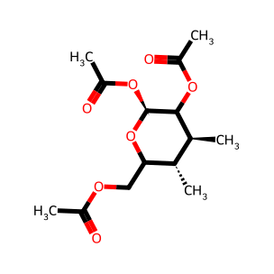 CC(=O)OCC1O[C@@H](OC(C)=O)C(OC(C)=O)[C@@H](C)[C@@H]1C